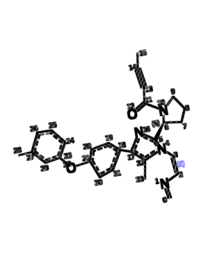 C=N/C=C\n1c([C@@H]2CCCN2C(=O)C#CC)nc(-c2ccc(Oc3cccc(C)c3)cc2)c1C